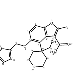 Cc1oc2ccc(OCc3nccs3)c(C3(CO)CCOCC3)c2c1C(N)=O